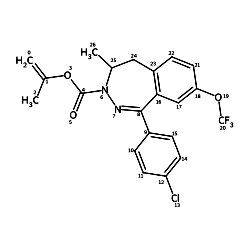 C=C(C)OC(=O)N1N=C(c2ccc(Cl)cc2)c2cc(OC(F)(F)F)ccc2CC1C